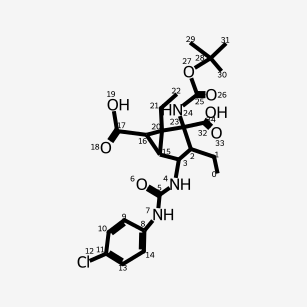 CCC1C(NC(=O)Nc2ccc(Cl)cc2)C2C(C(=O)O)C2(CC)C1(NC(=O)OC(C)(C)C)C(=O)O